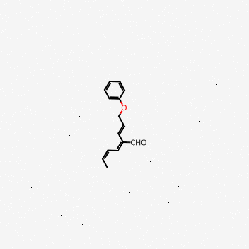 C\C=C/C=C(C=O)\C=C\COc1ccccc1